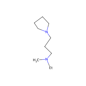 CCN(C)CCCN1CCCC1